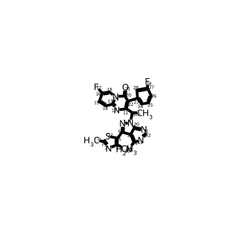 Cc1nc(C)c(-c2nn(C(C)c3nc4ccc(F)cn4c(=O)c3-c3cccc(F)c3)c3ncnc(N)c23)s1